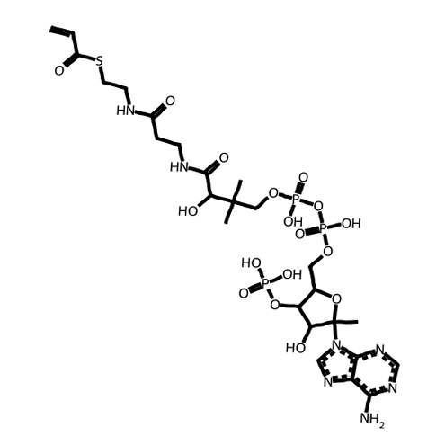 C=CC(=O)SCCNC(=O)CCNC(=O)C(O)C(C)(C)COP(=O)(O)OP(=O)(O)OCC1OC(C)(n2cnc3c(N)ncnc32)C(O)C1OP(=O)(O)O